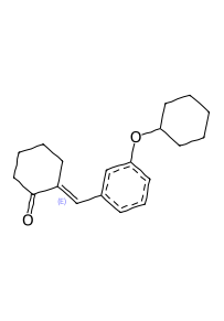 O=C1CCCC/C1=C\c1cccc(OC2CCCCC2)c1